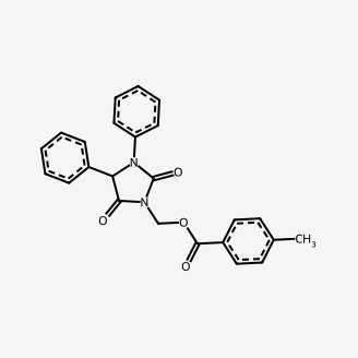 Cc1ccc(C(=O)OCN2C(=O)C(c3ccccc3)N(c3ccccc3)C2=O)cc1